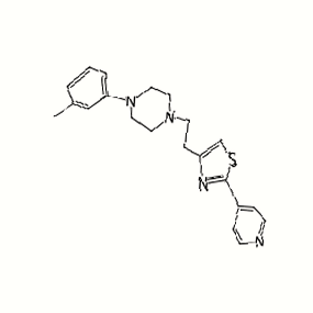 Cc1cccc(N2CCN(CCc3csc(-c4ccncc4)n3)CC2)c1